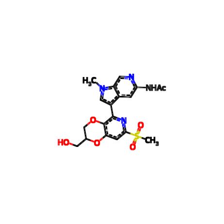 CC(=O)Nc1cc2c(-c3nc(S(C)(=O)=O)cc4c3OCC(CO)O4)cn(C)c2cn1